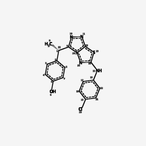 C[C@@H](c1ccc(O)cc1)c1nnc2sc(Nc3ccc(Cl)cc3)nn12